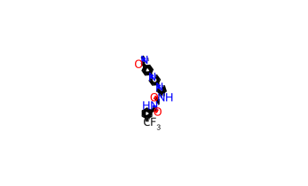 CN(C)C(=O)c1ccc(N2CCC(N3CC[C@@H](NC(=O)CNC(=O)c4cccc(C(F)(F)F)c4)C3)CC2)cc1